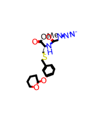 COC(=O)[C@@H](CSCc1cccc(OC2CCCCO2)c1)NC(=O)CN=[N+]=[N-]